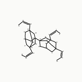 C/C=C\C12CC3CC(/C=C\C)(C1)CC(C14CC5CC(/C=C\C)(CC(/C=C\C)(C5)C1)C4)(C3)C2